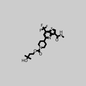 CNC(=O)c1csc2c(C(F)(F)F)cc(C3CCN(C(=O)OCCC(C)(C)O)CC3)nc12